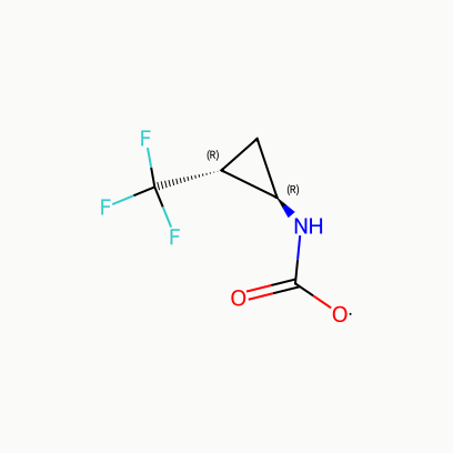 [O]C(=O)N[C@@H]1C[C@H]1C(F)(F)F